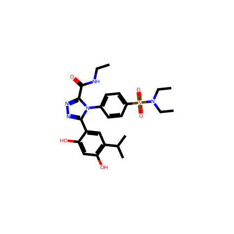 CCNC(=O)c1nnc(-c2cc(C(C)C)c(O)cc2O)n1-c1ccc(S(=O)(=O)N(CC)CC)cc1